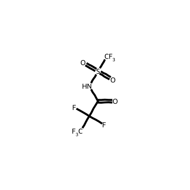 O=C(NS(=O)(=O)C(F)(F)F)C(F)(F)C(F)(F)F